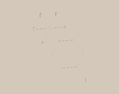 FS(F)(F)(F)(F)C1CCC(I)CC1